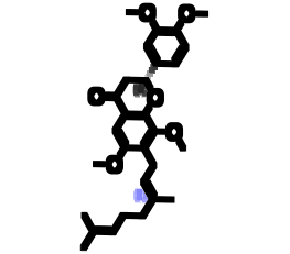 COc1ccc([C@H]2CC(=O)c3cc(OC)c(C/C=C(\C)CCC=C(C)C)c(OC)c3O2)cc1OC